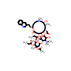 CCC(=O)O[C@@H]1CC(=O)O[C@@H](CCc2cnc3ccccc3c2)CCCN(C)C[C@H](O)[C@H](C)C[C@H](CC=O)[C@H](O[C@@H]2OC(C)[C@@H](O[C@H]3CC(C)(OC(C)=O)[C@@H](OC(=O)CC)C(C)O3)C(N(C)C)C2O)[C@H]1OC